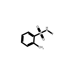 Cc1ccccc1S(=O)(=O)NF